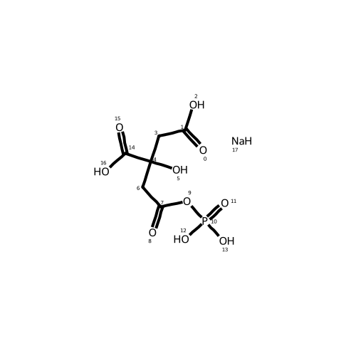 O=C(O)CC(O)(CC(=O)OP(=O)(O)O)C(=O)O.[NaH]